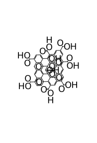 O=C(O)C1=CC23OC24C(=C1)C(C(=O)O)=C1C2=CC=C(C(=O)O)C5CC6=CC7=C(C(=O)O)C=CC89OC78C7=C6C6(OC256)C2(O)C5=C6C8%10OC8%11C(=CC(C(=O)O)=C9C%118OC758)C(C(=O)O)=CC%10=CC(=C3C(=O)O)C63OC34C12O